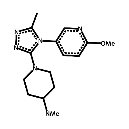 CNC1CCN(c2nnc(C)n2-c2ccc(OC)nc2)CC1